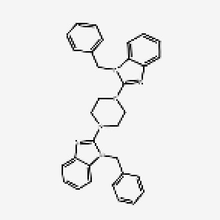 c1ccc(Cn2c(N3CCN(c4nc5ccccc5n4Cc4ccccc4)CC3)nc3ccccc32)cc1